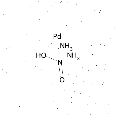 N.N.O=NO.[Pd]